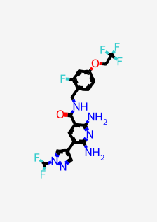 Nc1nc(N)c(-c2cnn(C(F)F)c2)cc1C(=O)NCc1ccc(OCC(F)(F)F)cc1F